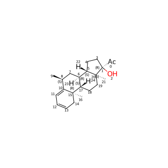 CC(=O)[C@@]1(O)CC[C@H]2[C@@H]3C[C@H](C)C4=CC=CC[C@]4(C)[C@H]3CC[C@@]21C